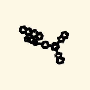 c1ccc2c(c1)Oc1cc3ccccc3cc1C21c2ccccc2-c2ccc(-c3ccc(-c4cc(-c5nc6ccccc6o5)cc(-c5nc6ccccc6o5)c4)cc3)cc21